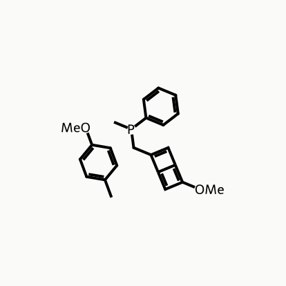 COc1cc2c(CP(C)c3ccccc3)cc1-2.COc1ccc(C)cc1